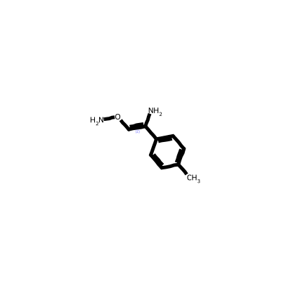 Cc1ccc(/C(N)=C/ON)cc1